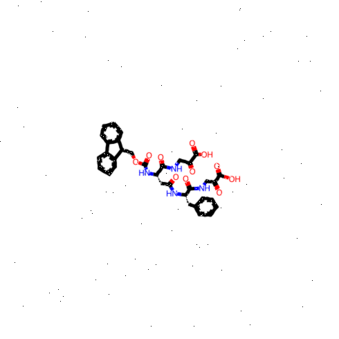 O=C(C[C@H](NC(=O)OCC1c2ccccc2-c2ccccc21)C(=O)NCC(=O)C(=O)O)N[C@@H](Cc1ccccc1)C(=O)NCC(=O)C(=O)O